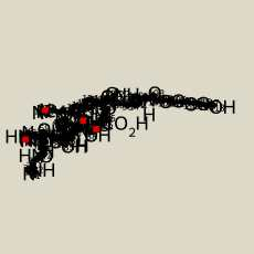 CCc1cc(OCCCCN=[N+]=[N-])ccc1-c1ccc(C[C@H](NC(=O)[C@H](CC(=O)O)NC(=O)[C@H](C)NC(=O)[C@@H](NC(=O)C(C)(Cc2ccccc2F)NC(=O)[C@@H](NC(=O)CNC(=O)[C@H](Cc2nn[nH]n2)NC(=O)C(C)(C)C(=O)NCCc2cnc[nH]2)[C@@H](C)O)[C@@H](C)O)C(=O)N[C@@H](CCCc2ccc(CNC(=O)CCOCCOCCOCCOCCO)cc2)C(N)=O)cc1